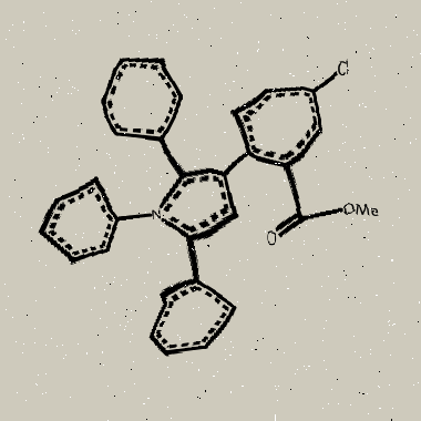 COC(=O)c1cc(Cl)ccc1-c1cc(-c2ccccc2)n(-c2ccccc2)c1-c1ccccc1